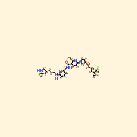 CC1(C)C[C@H](CCCNc2cccc(SNC(=O)c3ccc(-n4ccc(OCCCC5(C(F)(F)F)CC5)n4)nc3Cl)n2)CN1